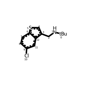 CC(C)(C)NCc1csc2ccc(Cl)cc12